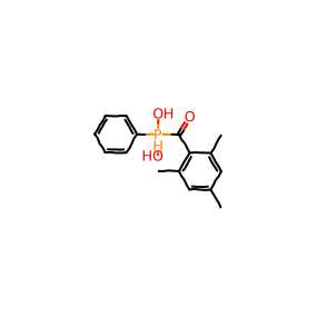 Cc1cc(C)c(C(=O)[PH](O)(O)c2ccccc2)c(C)c1